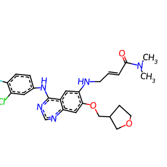 CN(C)C(=O)C=CCNc1cc2c(Nc3ccc(F)c(Cl)c3)ncnc2cc1OCC1CCOC1